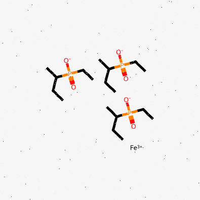 CCC(C)P(=O)([O-])CC.CCC(C)P(=O)([O-])CC.CCC(C)P(=O)([O-])CC.[Fe+3]